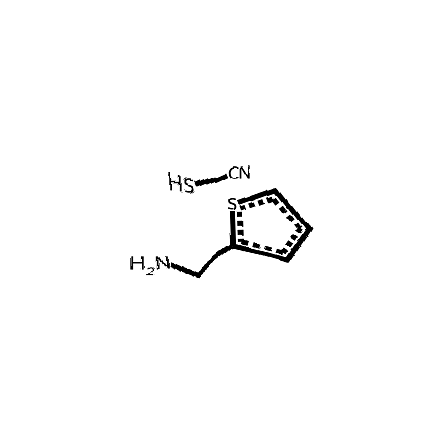 N#CS.NCc1cccs1